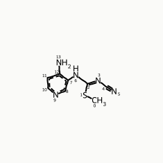 CS/C(=N\C#N)Nc1cnccc1N